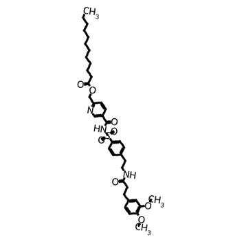 CCCCCCCCCCCC(=O)OCc1ccc(C(=O)NS(=O)(=O)c2ccc(CCNC(=O)CCc3ccc(OC)c(OC)c3)cc2)cn1